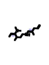 C=CC/C(C)=C/NCCC(C)/C(=C\C)N(C)C